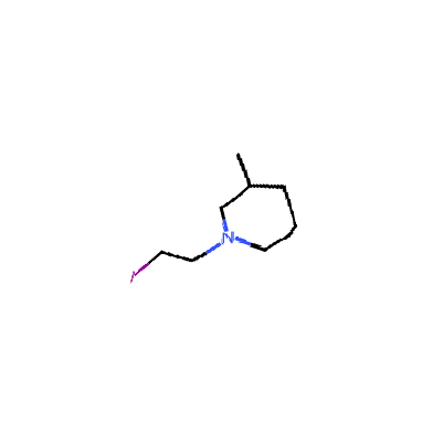 CC1CCCN(CCI)C1